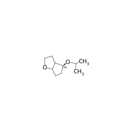 CC(C)O[C@H]1CCC2OCCC21